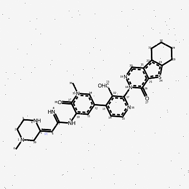 CN1CCN/C(=C\C(=N)Nc2cc(-c3ccnc(-n4ncc5c6c(sc5c4=O)CCCC6)c3C=O)cn(C)c2=O)C1